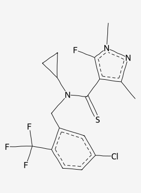 Cc1nn(C)c(F)c1C(=S)N(Cc1cc(Cl)ccc1C(F)(F)F)C1CC1